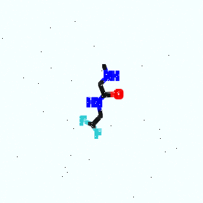 CNCC(=O)NCC(F)F